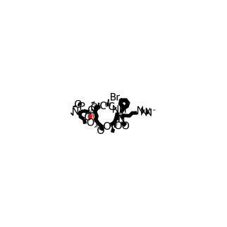 CC[C@H]1OC(=O)[C@H](C)C(=O)[C@H](C)[C@@H](O[C@@H]2OC(C)CC(N(C)C)C2P=O)[C@](C)(OC)C[C@@H](C)CN[C@H](Cc2cccc(Br)c2)[C@H]2N(CCCCN=[N+]=[N-])C(=O)O[C@]12C